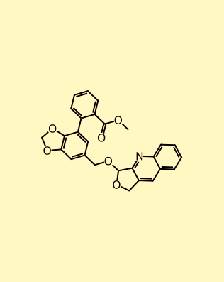 COC(=O)c1ccccc1-c1cc(COC2OCc3cc4ccccc4nc32)cc2c1OCO2